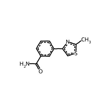 Cc1nc(-c2cccc(C(N)=O)c2)cs1